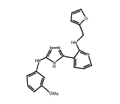 COc1cccc(Nc2nnc(-c3cccnc3NCc3ccco3)[nH]2)c1